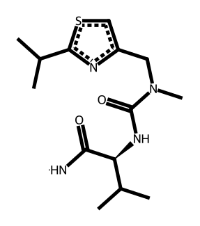 CC(C)c1nc(CN(C)C(=O)N[C@H](C([NH])=O)C(C)C)cs1